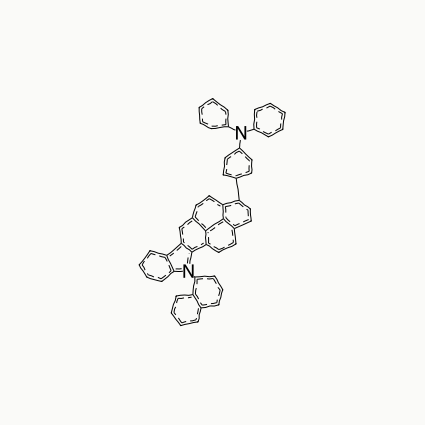 c1ccc(N(c2ccccc2)c2ccc(-c3ccc4ccc5c6c(ccc3c46)cc3c4ccccc4n(-c4cccc6ccccc46)c35)cc2)cc1